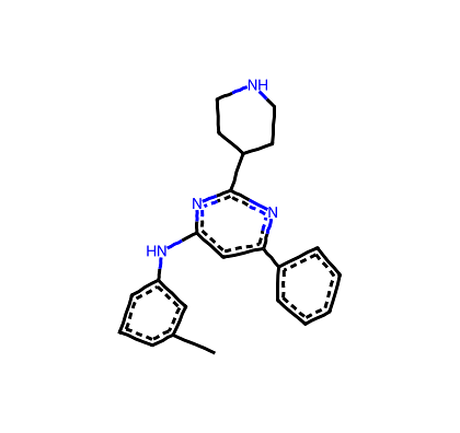 Cc1cccc(Nc2cc(-c3ccccc3)nc(C3CCNCC3)n2)c1